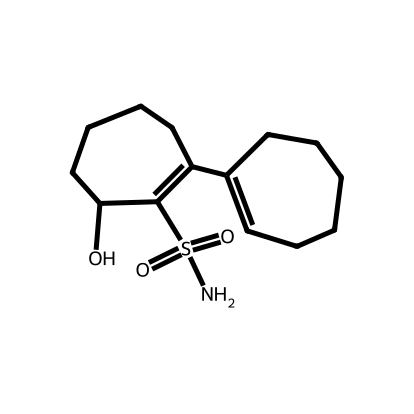 NS(=O)(=O)C1=C(C2=CCCCCC2)CCCCC1O